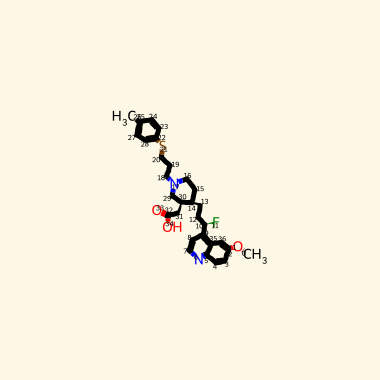 COc1ccc2nccc([C@@H](F)CC[C@@H]3CCN(CCCSc4ccc(C)cc4)C[C@@H]3CC(=O)O)c2c1